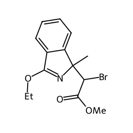 CCOC1=NC(C)(C(Br)C(=O)OC)c2ccccc21